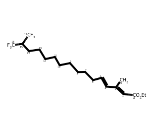 CCOC(=O)/C=C(C)/C=C/CCCCCCCCCC(C(F)(F)F)C(F)(F)F